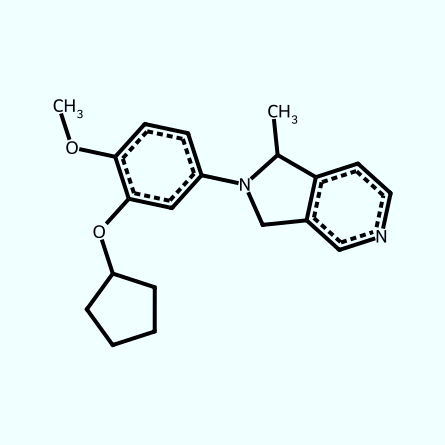 COc1ccc(N2Cc3cnccc3C2C)cc1OC1CCCC1